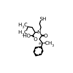 CC(C)CC(C(=O)O)N(CCS)C(=O)C[C@@H](C)c1ccccc1